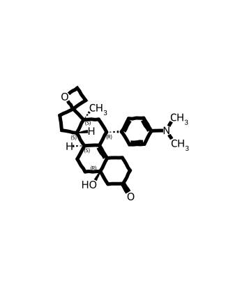 CN(C)c1ccc([C@H]2C[C@@]3(C)[C@@H](CCC34CCO4)[C@@H]3CC[C@@]4(O)CC(=O)CCC4=C32)cc1